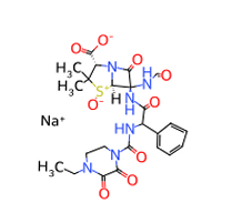 CCN1CCN(C(=O)NC(C(=O)N[C@]2(NC=O)C(=O)N3[C@@H](C(=O)[O-])C(C)(C)[S+]([O-])[C@@H]32)c2ccccc2)C(=O)C1=O.[Na+]